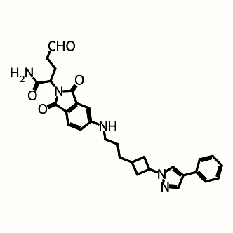 NC(=O)C(CCC=O)N1C(=O)c2ccc(NCCCC3CC(n4cc(-c5ccccc5)cn4)C3)cc2C1=O